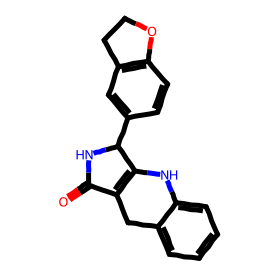 O=C1NC(c2ccc3c(c2)CCO3)C2=C1Cc1ccccc1N2